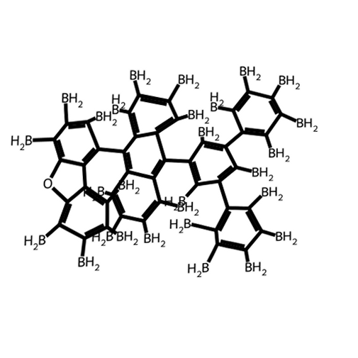 Bc1c(B)c(B)c(-c2c(B)c(-c3c(B)c(B)c(B)c(B)c3B)c(B)c(-c3c4c(B)c(B)c(B)c(B)c4c(-c4c(B)c(B)c(B)c5oc6c(B)c(B)c(B)c(B)c6c45)c4c(B)c(B)c(B)c(B)c34)c2B)c(B)c1B